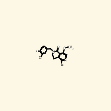 COc1cnc(Br)c2c1C(=O)N(Cc1ccc(F)c(Cl)c1)CC2